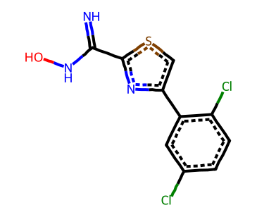 N=C(NO)c1nc(-c2cc(Cl)ccc2Cl)cs1